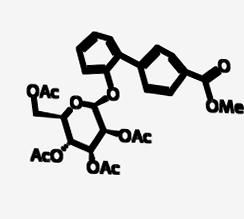 COC(=O)c1ccc(-c2ccccc2O[C@@H]2O[C@H](COC(C)=O)[C@@H](OC(C)=O)[C@H](OC(C)=O)[C@@H]2OC(C)=O)cc1